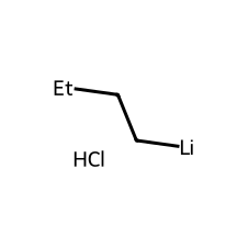 Cl.[Li][CH2]CCC